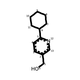 OCc1ccc(C2CCCCC2)nc1